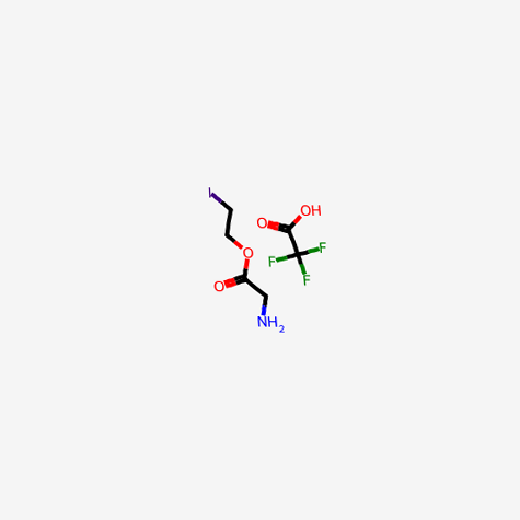 NCC(=O)OCCI.O=C(O)C(F)(F)F